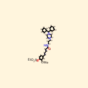 CCOC(=O)Oc1ccc(/C=C/C=C/C(=O)NCCCN2CCN(C(c3ccccc3)c3ccccc3)CC2)cc1OC